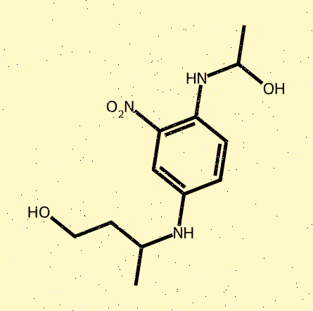 CC(O)Nc1ccc(NC(C)CCO)cc1[N+](=O)[O-]